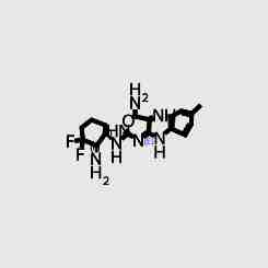 Cc1ccc(N/C(=N/C(=N)N[C@@H]2CCCC(F)(F)[C@@H]2N)C(=N)C(N)=O)cc1